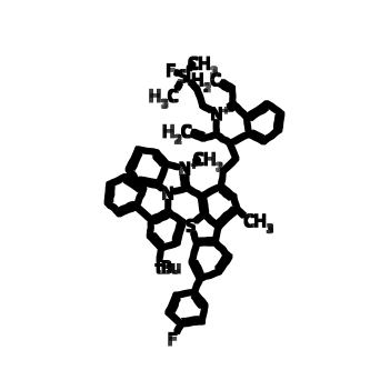 C=CC1=[N+](CC[Si](C)(C)F)C(C=C)C(CCc2cc(C)c3c(sc4cc(-c5ccc(F)cc5)ccc43)c2-c2n(-c3ccc(C(C)(C)C)cc3-c3ccccc3)c3ccccc3[n+]2C)c2ccccc21